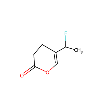 CC(F)C1=COC(=O)CC1